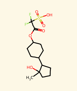 CC1(O)CCCC1C1CCC(OC(=O)C(F)(F)S(=O)(=O)O)CC1